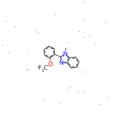 Cn1c(-c2ccccc2OC(F)(F)F)nc2ccccc21